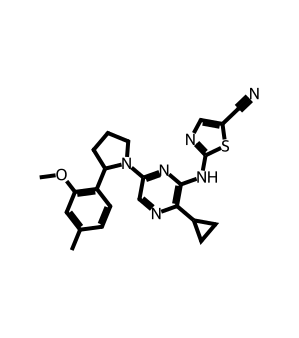 COc1cc(C)ccc1C1CCCN1c1cnc(C2CC2)c(Nc2ncc(C#N)s2)n1